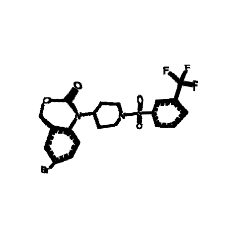 O=C1OCc2cc(Br)ccc2N1C1CCN(S(=O)(=O)c2cccc(C(F)(F)F)c2)CC1